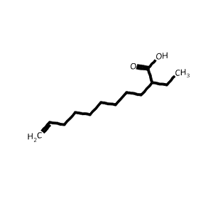 C=CCCCCCCCC(CC)C(=O)O